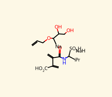 C=C(C(=C)C(=O)NC(C(C)C)S(=O)(=O)O)C(=O)O.C=CCO[CH]([Na])C(O)CO.[NaH]